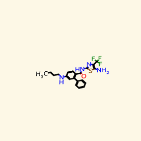 CCCCNc1ccc(C(=O)Nc2nc(C(F)(F)F)c(N)s2)c(-c2ccccc2)c1